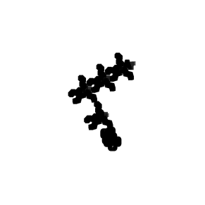 CCCC[N+](CCCC)(CCCC)CCCC.CCCC[N+](CCCC)(CCCC)CCCC.CCCC[N+](CCCC)(CCCC)CCCC.CCCC[N+](CCCC)(CCCC)CCCC.O=P([O-])([O-])OP(=O)([O-])[O-].[Ar]